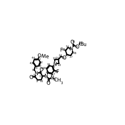 COc1ccc(CN2C(=O)CCC(n3c(=O)n(C)c4c(F)c(N5CC(CO[C@@H]6CCN(C(=O)OC(C)(C)C)C[C@H]6F)C5)ccc43)C2=O)cc1